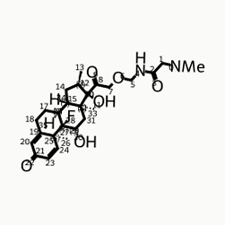 CNCC(=O)NCOCC(=O)[C@@]1(O)[C@H](C)C[C@H]2[C@@H]3CCC4=CC(=O)C=C[C@]4(C)[C@@]3(F)[C@@H](O)C[C@@]21C